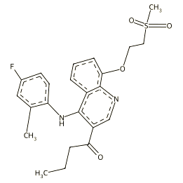 CCCC(=O)c1cnc2c(OCCS(C)(=O)=O)cccc2c1Nc1ccc(F)cc1C